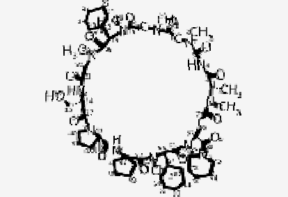 C[C@H]1C(=O)NC(=O)N(C)CC(=O)N(C)CC(=O)N(C)C(C2CCCCC2)C(=O)N(C)CC(=O)N[C@@H](CO)C(=O)N2CCC[C@H]2C(=O)NC2(CCCC2)C(=O)N(C)C(C2CCCCC2)C(=O)N(C)[C@H](C(=O)N2CCCCC2)CC(=O)N1C